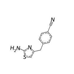 N#Cc1ccc(Cc2csc(N)n2)cc1